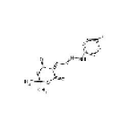 CC1(C)OC(=O)C(=CC=NNc2ccc(F)cc2)C(=O)O1